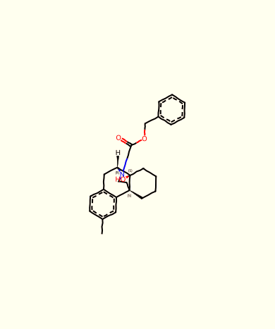 Cc1ccc2c(c1)[C@@]13CCCC[C@@]1(O)[C@@H](C2)N(C(=O)OCc1ccccc1)CC3